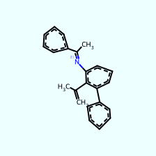 C=C(C)c1c(/N=C(\C)c2ccccc2)cccc1-c1ccccc1